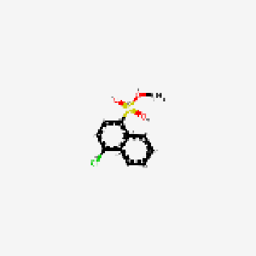 COS(=O)(=O)c1ccc(Cl)c2ccccc12